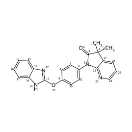 CC1(C)C(=O)N(c2ccc(Oc3nc4ccccc4[nH]3)cc2)c2ncccc21